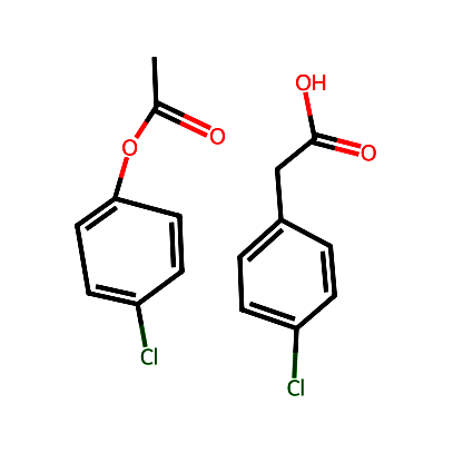 CC(=O)Oc1ccc(Cl)cc1.O=C(O)Cc1ccc(Cl)cc1